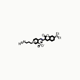 CCN(CC)c1ccc2cc(/C=C/c3cc[n+](CCCN=[N+]=[N-])cc3S(=O)(=O)[O-])c(=O)oc2c1